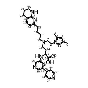 Cc1cc(C)n(CCN(CCCCc2ccc3c(n2)NCCC3)CCC(Nc2cncc(-c3ccncc3)n2)C(=O)O)n1